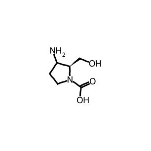 NC1CCN(C(=O)O)[C@@H]1CO